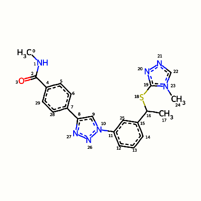 CNC(=O)c1ccc(-c2cn(-c3cccc(C(C)Sc4nncn4C)c3)nn2)cc1